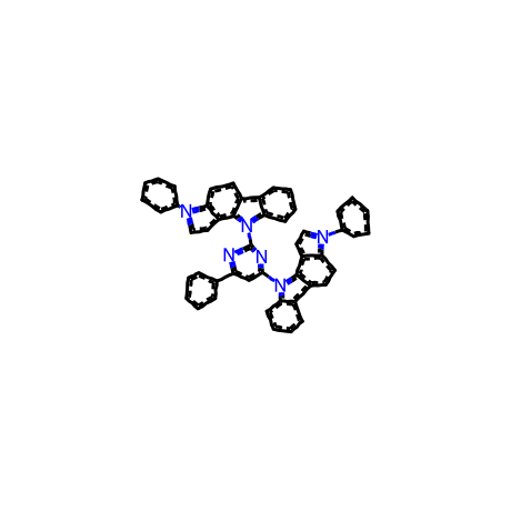 c1ccc(-c2cc(-n3c4ccccc4c4ccc5c(ccn5-c5ccccc5)c43)nc(-n3c4ccccc4c4ccc5c(ccn5-c5ccccc5)c43)n2)cc1